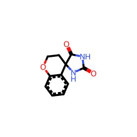 O=C1NC(=O)C2(CCOc3ccccc32)N1